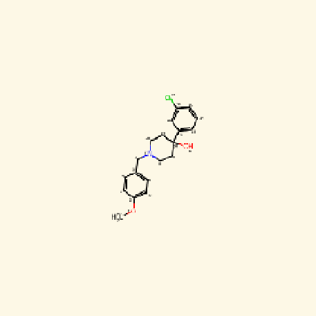 COc1ccc(CN2CCC(O)(c3cccc(Cl)c3)CC2)cc1